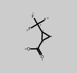 [O]C(=O)C1CC1C(F)(F)F